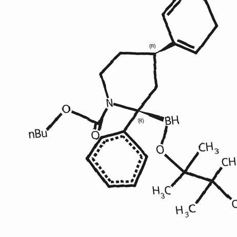 CCCCOC(=O)N1CC[C@@H](C2=CCCC=C2)C[C@]1(BOC(C)(C)C(C)(C)O)c1ccccc1